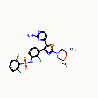 C[C@@H]1CN(c2nc(-c3cccc(NS(=O)(=O)c4c(F)cccc4F)c3F)c(-c3ccnc(N)n3)s2)C[C@H](C)O1